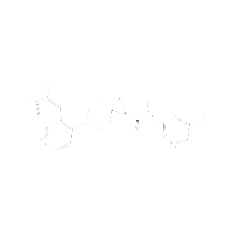 Cc1cc2nccc(C3CCC4(CC3)CC4C(=O)Nc3cncc(Cl)c3)c2cc1F